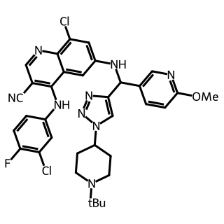 COc1ccc(C(Nc2cc(Cl)c3ncc(C#N)c(Nc4ccc(F)c(Cl)c4)c3c2)c2cn(C3CCN(C(C)(C)C)CC3)nn2)cn1